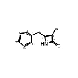 CC1C(=O)NC1Cc1ccccc1